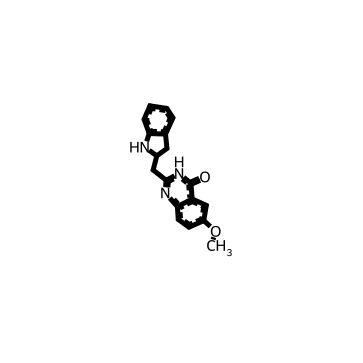 COc1ccc2nc(CC3Cc4ccccc4N3)[nH]c(=O)c2c1